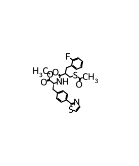 COC(=O)[C@H](Cc1ccc(-c2nccs2)cc1)NC(=O)C(CSC(C)=O)Cc1ccccc1F